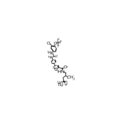 CC(CNC(=O)c1cc(-c2ccc(NC(=O)Nc3ccc(OC(F)(F)F)c(Cl)c3)cc2)no1)CC(=O)O